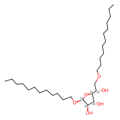 CCCCCCCCCCCCOC[C@H](O)[C@@H]1O[C@H](OCCCCCCCCCCCC)[C@H](O)[C@H]1O